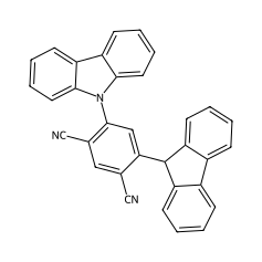 N#Cc1cc(C#N)c(-n2c3ccccc3c3ccccc32)cc1C1c2ccccc2-c2ccccc21